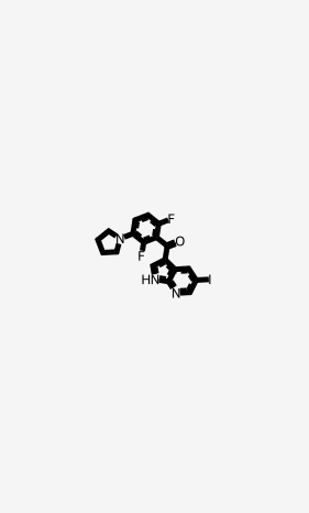 O=C(c1c(F)ccc(N2CCCC2)c1F)c1c[nH]c2ncc(I)cc12